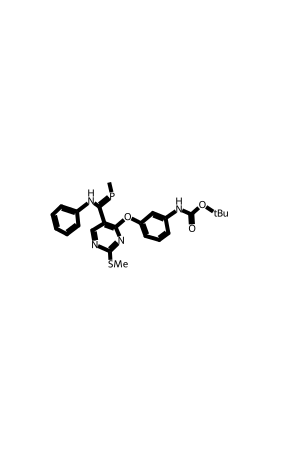 C/P=C(\Nc1ccccc1)c1cnc(SC)nc1Oc1cccc(NC(=O)OC(C)(C)C)c1